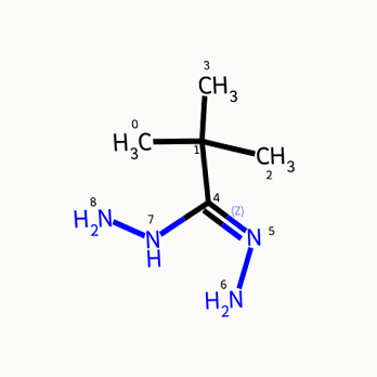 CC(C)(C)/C(=N/N)NN